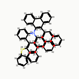 c1ccc(-c2cc(-c3ccccc3)cc(N(c3ccccc3-c3cccc4c3sc3ccccc34)c3c(-c4ccc5ccccc5c4)c4ccccc4c4ccccc34)c2)cc1